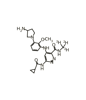 [2H]C([2H])([2H])NC(=O)c1nnc(NC(=O)C2CC2)cc1Nc1cccc(N2CCC(N)C2)c1OC